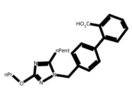 CCCCCc1nc(OCCC)nn1Cc1ccc(-c2ccccc2C(=O)O)cc1